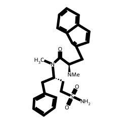 CN[C@H](Cc1ccc2ccccc2c1)C(=O)N(C)[C@H](CCS(N)(=O)=O)Cc1ccccc1